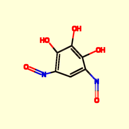 O=Nc1cc(N=O)c(O)c(O)c1O